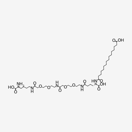 N[C@@H](CCCCNC(=O)COCCOCCNC(=O)COCCOCCNC(=O)CCC[C@H](NC(=O)CCCCCCCCCCCCCCC(=O)O)C(=O)O)C(=O)O